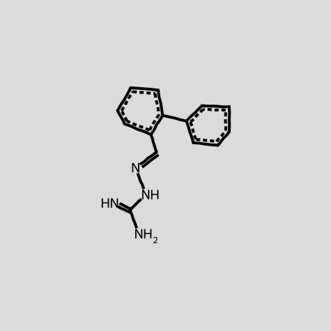 N=C(N)N/N=C/c1ccccc1-c1ccccc1